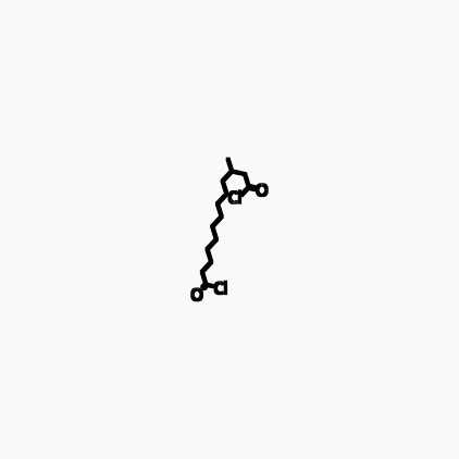 CC(CCCCCCCCCC(=O)Cl)CC(=O)Cl